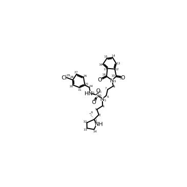 C[C@@]1(CCCN(CCCN2C(=O)c3ccccc3C2=O)S(=O)(=O)NCc2ccc(Cl)cc2)CCCN1